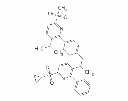 CC(C)c1ccc(S(C)(=O)=O)nc1-c1ccc(CC(C)c2ccc(S(=O)(=O)C3CC3)nc2-c2ccccc2)cc1